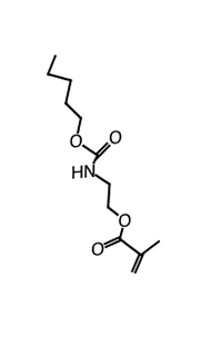 C=C(C)C(=O)OCCNC(=O)OCCCCC